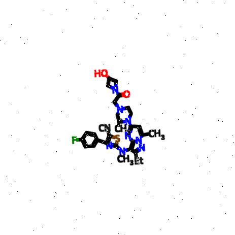 CCc1nn2c(C)cc(N3CCN(CC(=O)N4CC(O)C4)C[C@@H]3C)nc2c1N(C)c1nc(-c2ccc(F)cc2)c(C#N)s1